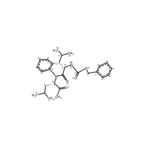 CC(=O)[C@H](CC(C)C)N(C(=O)[C@H](CC(C)C)NC(=O)OCc1ccccc1)c1ccccc1